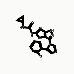 O=C(Nc1nc2[nH]nc(-n3cncc3-c3ccccc3Cl)c2s1)NC1CC1